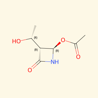 CC(=O)O[C@H]1NC(=O)[C@@H]1[C@@H](C)O